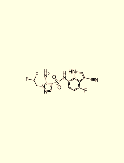 N#Cc1c[nH]c2c(NS(=O)(=O)c3cnn(CC(F)F)c3N)ccc(F)c12